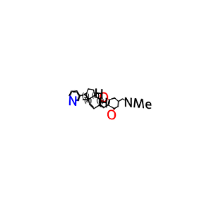 CNCC1CC(=O)C2=C(C1)O[C@@H]1C(=C2)C=C[C@]2(C)[C@@H](c3cccnc3)CC[C@@H]12